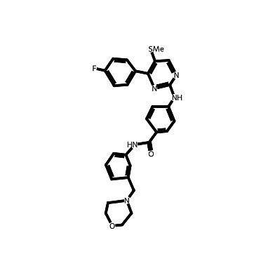 CSc1cnc(Nc2ccc(C(=O)Nc3cccc(CN4CCOCC4)c3)cc2)nc1-c1ccc(F)cc1